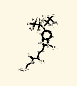 BC(B)(Cl)C(B)(B)N(c1ccc2c(c1)nc(CCC(N)C(=O)NCC(=O)O)n2C)C(B)(B)C(B)(B)Cl